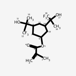 C=C(C)C(=O)OC1CC(C(C)(O)C(F)(F)F)CC(C(C)(O)C(F)(F)F)C1